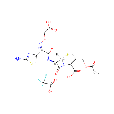 CC(=O)OCC1=C(C(=O)O)N2C(=O)[C@@H](NC(=O)/C(=N\OCC(=O)O)c3csc(N)n3)[C@H]2SC1.O=C(O)C(F)(F)F